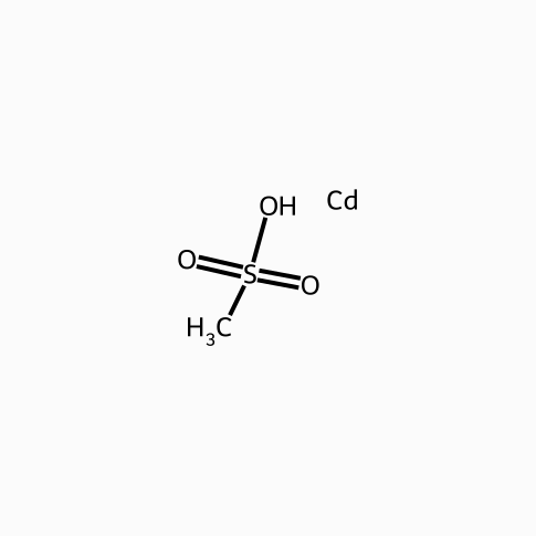 CS(=O)(=O)O.[Cd]